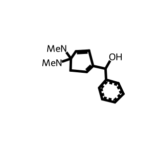 CNC1(NC)C=CC(C(O)c2ccccc2)=CC1